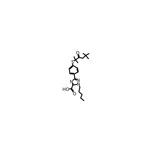 CCCCCn1nc(-c2ccc(SC(C)(C)C(=O)CC(C)(C)C)cc2)nc1C(=O)O